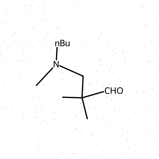 CCCCN(C)CC(C)(C)C=O